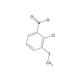 CSc1cccc([N+](=O)[O-])c1Cl